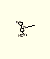 CCCCCNc1cc(C(=O)O)ccc1-c1cccc(F)c1